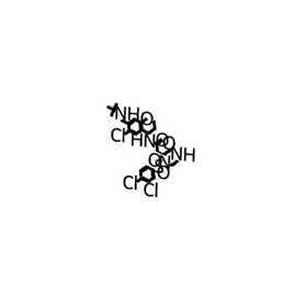 CC(C)(C)NCc1cc2c(cc1Cl)[C@H](NC(=O)C[C@H]1C(=O)NCCN1S(=O)(=O)c1ccc(Cl)c(Cl)c1)CCO2